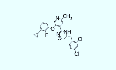 Cc1cc(C2=NOC[C@@H](Cc3ccc(Cl)cc3Cl)N2)c(Oc2cccc(C3CC3)c2F)cn1